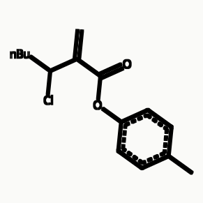 C=C(C(=O)Oc1ccc(C)cc1)C(Cl)CCCC